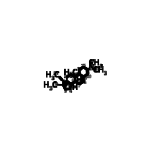 C[C@H]1C2CC[C@H]3[C@@H]4CC=C5C[C@@H](N(C)C)CC[C@]5(C)C4CC[C@]23CN1C